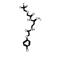 C=C(CCNC(=O)COc1ccc(Cl)cc1)NC(=O)COCC(F)(F)F